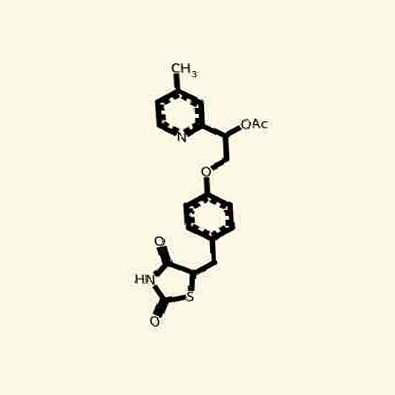 CC(=O)OC(COc1ccc(CC2SC(=O)NC2=O)cc1)c1cc(C)ccn1